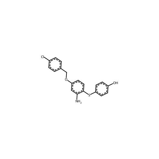 Nc1cc(OCc2ccc(Cl)cc2)ccc1Sc1ccc(O)cc1